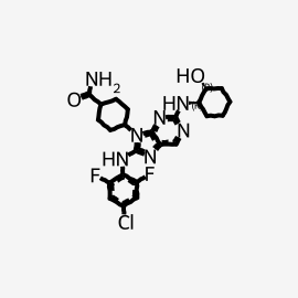 NC(=O)C1CCC(n2c(Nc3c(F)cc(Cl)cc3F)nc3cnc(N[C@@H]4CCCC[C@H]4O)nc32)CC1